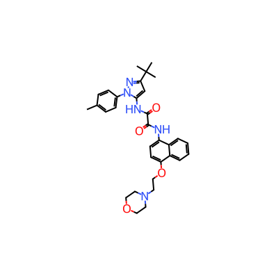 Cc1ccc(-n2nc(C(C)(C)C)cc2NC(=O)C(=O)Nc2ccc(OCCN3CCOCC3)c3ccccc23)cc1